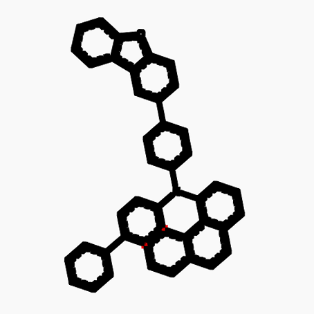 c1ccc(-c2ccc(N(c3ccc(-c4ccc5oc6ccccc6c5c4)cc3)c3cccc4ccc5ccccc5c34)cc2)cc1